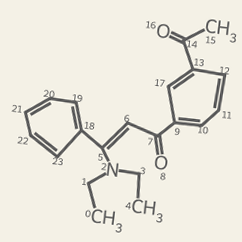 CCN(CC)/C(=C\C(=O)c1cccc(C(C)=O)c1)c1ccccc1